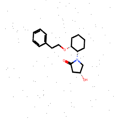 O=C1C[C@@H](O)CN1[C@H]1CCCC[C@H]1OCCc1ccccc1